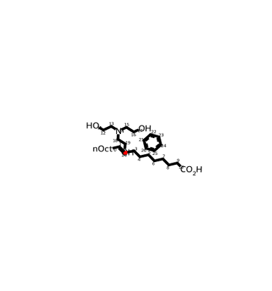 CCCCCCCCC=CCCCCCCCC(=O)O.OCCN(CCO)CCO.c1ccccc1